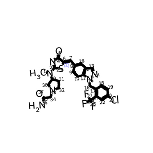 CN(C1=NC(=O)/C(=C/c2ccc3c(cnn3Cc3ccc(Cl)cc3C(F)(F)F)c2)S1)C1CCN(CC(N)=O)C1